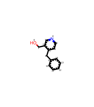 OCc1cnccc1Cc1ccccc1